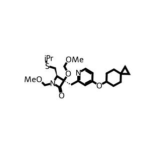 COCO[C@@]1(Cc2cc(OC3CCC4(CC3)CC4)ccn2)C(=O)N(COC)[C@H]1CSC(C)C